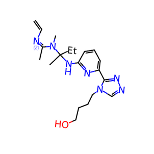 C=C/N=C(/C)N(C)C(C)(CC)Nc1cccc(-c2nncn2CCCCO)n1